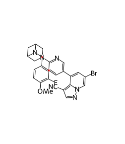 COc1ccc(CN2C3CC2CN(c2ccc(-c4cc(Br)cn5ncc(C#N)c45)cn2)C3)cc1F